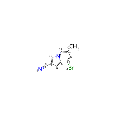 Cc1cc(Br)c2cc(C#N)cn2c1